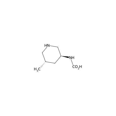 C[C@@H]1CNC[C@@H](NC(=O)O)C1